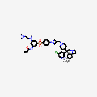 C=CC(=O)Nc1cc(N(C)CCN(C)C)cc(S(=O)(=O)c2ccc(N3CC(CN4CCC(C(CN5CCC5)(c5cccc(F)c5)[C@H]5CCC[C@@H]5NC(=O)O)CC4)C3)cc2)c1